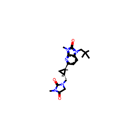 CN1C(=O)CN(C[C@@H]2C[C@H]2c2ccc3c(n2)n(C)c(=O)n3CC(C)(C)C)C1=O